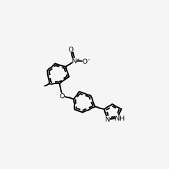 Cc1ccc([N+](=O)[O-])cc1Oc1ccc(-c2cc[nH]n2)cc1